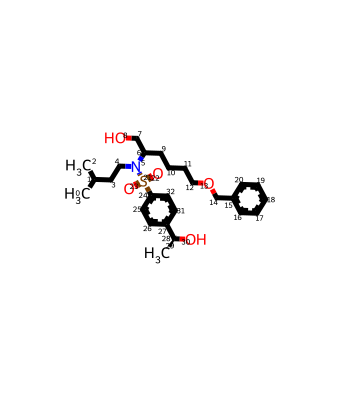 CC(C)CCN(C(CO)CCCCOCc1ccccc1)S(=O)(=O)c1ccc([C@H](C)O)cc1